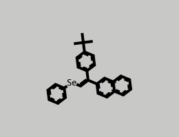 CC(C)(C)c1ccc(C(=C[Se]c2ccccc2)c2ccc3ccccc3c2)cc1